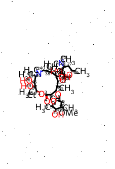 CC[C@H]1OC(=O)[C@H](C)[C@@H](O[C@H]2C[C@](C)(OC)[C@@H](O)C(C)O2)[C@H](C)[C@@H](O[C@@H]2OC(C)C[C@@H](N(C)C)C2O)[C@](C)(O)C[C@@H](C)CN(C)[C@H](C)[C@@H](O)[C@]1(C)O